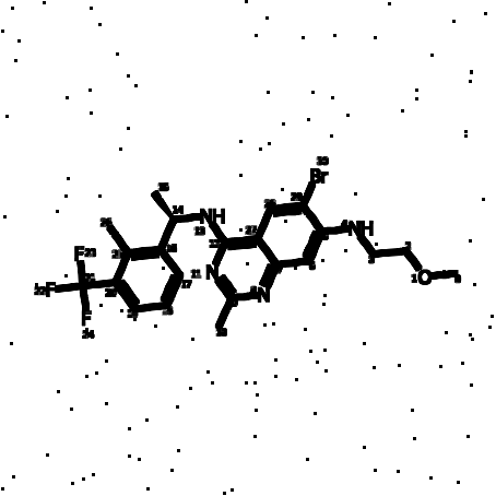 COCCNc1cc2nc(C)nc(N[C@H](C)c3cccc(C(F)(F)F)c3C)c2cc1Br